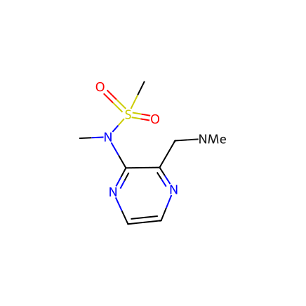 CNCc1nccnc1N(C)S(C)(=O)=O